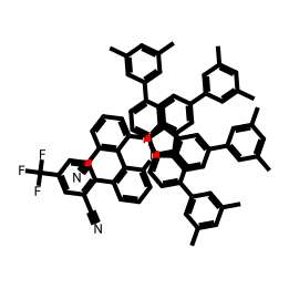 Cc1cc(C)cc(-c2ccc3c(c2)c2cc(-c4cc(C)cc(C)c4)ccc2n3-c2cccc(C#N)c2-c2c(-c3ccc(C(F)(F)F)cc3C#N)cccc2-n2c3ccc(-c4cc(C)cc(C)c4)cc3c3cc(-c4cc(C)cc(C)c4)ccc32)c1